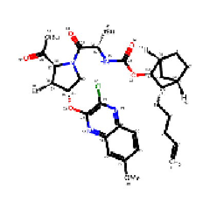 C=CCCC[C@H]1[C@H]2CC[C@H](C2)[C@@H]1OC(=O)N[C@H](C(=O)N1C[C@H](Oc2nc3cc(OC)ccc3nc2Cl)[C@@H](CC)[C@H]1C(=O)OCC(C)C)C(C)(C)C